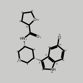 O=C(N[C@H]1COC[C@@H](c2c[nH]c3ccc(Cl)cc23)C1)C1CCCO1